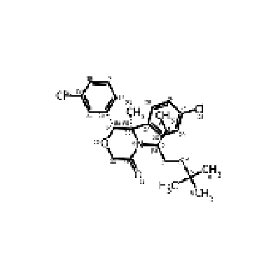 CC[C@@H](CSC(C)(C)C)N1C(=O)CO[C@H](c2cccc(Cl)c2)[C@@]1(C)c1ccc(Cl)cc1